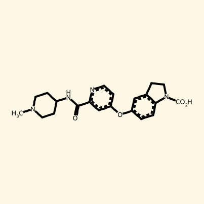 CN1CCC(NC(=O)c2cc(Oc3ccc4c(c3)CCN4C(=O)O)ccn2)CC1